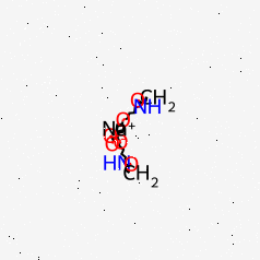 C=CC(=O)NCCCCOc1ccc(C(OCCCCNC(=O)C=C)C(=O)[O-])cc1.[Na+]